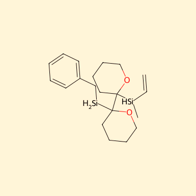 C=C[SiH](C)C1(C2([SiH2]Cc3ccccc3)CCCCO2)CCCCO1